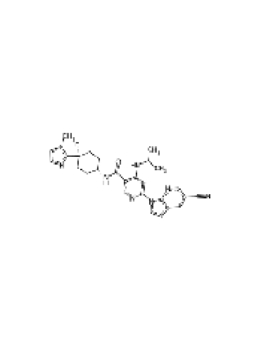 CC(C)Nc1cc(-n2ccc3cc(C#N)cnc32)ncc1C(=O)N[C@H]1CC[C@](F)(c2nccn2C)CC1